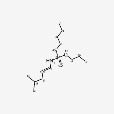 CCCCSP(=S)(NC=NCC(C)C)OCCC